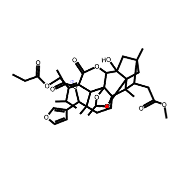 CCC(=O)OC/C(=C1\C(=O)OC2C3(O)CC4(C)CC35OC3(C)OC26C1C(C)(C(OC(C)=O)c1ccoc1)CCC6(O3)C5(C)C4CC(=O)OC)C(C)C